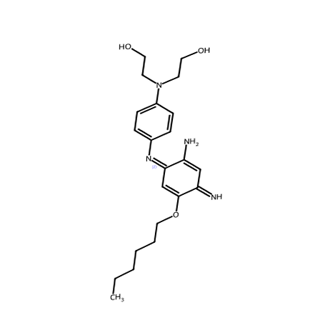 CCCCCCOC1=C/C(=N/c2ccc(N(CCO)CCO)cc2)C(N)=CC1=N